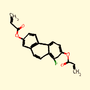 C=CC(=O)Oc1ccc2c(ccc3c(F)c(OC(=O)C=C)ccc32)c1